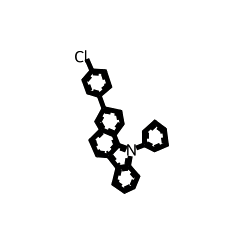 Clc1ccc(-c2ccc3c(ccc4c5ccccc5n(-c5ccccc5)c34)c2)cc1